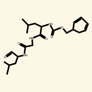 CC(C)CC(C=O)NC(=O)CNC(=O)C(CC(C)C)NC(=O)OCC1C=CC=CC1